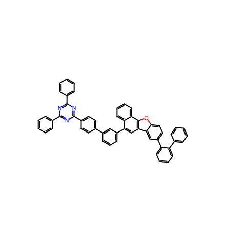 c1ccc(-c2nc(-c3ccccc3)nc(-c3ccc(-c4cccc(-c5cc6c7cc(-c8ccccc8-c8ccccc8)ccc7oc6c6ccccc56)c4)cc3)n2)cc1